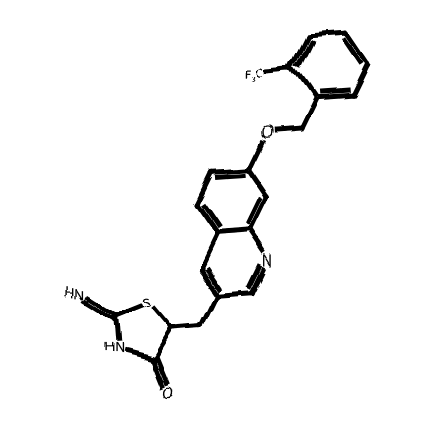 N=C1NC(=O)C(Cc2cnc3cc(OCc4ccccc4C(F)(F)F)ccc3c2)S1